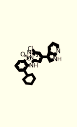 NS(=O)(=O)c1cccc(C2CCCCC2)c1Nc1cc(-c2c[nH]c3ncccc23)cc(Cl)n1